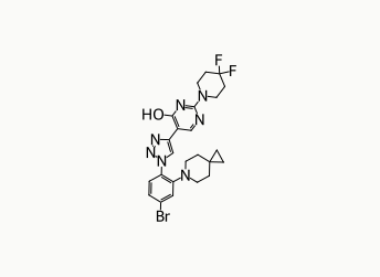 Oc1nc(N2CCC(F)(F)CC2)ncc1-c1cn(-c2ccc(Br)cc2N2CCC3(CC2)CC3)nn1